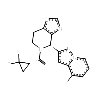 O=C([C@@H]1CC1(F)F)N1CCc2[nH]cnc2[C@H]1c1cc2c(F)cccn2n1